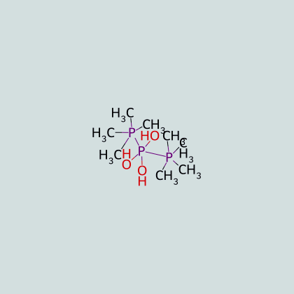 CP(C)(C)(C)P(O)(O)(O)P(C)(C)(C)C